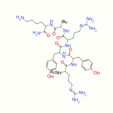 CCC(C)C(NC(=O)C(CCCN=C(N)N)NC(=O)C(Cc1ccc(O)cc1)NC(=O)C(Cc1ccc(O)cc1)NC(=O)C(CCCN=C(N)N)NC(C)=O)C(=O)NC(CCCCN)C(N)=O